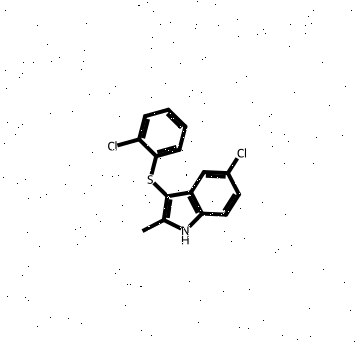 Cc1[nH]c2ccc(Cl)cc2c1Sc1ccccc1Cl